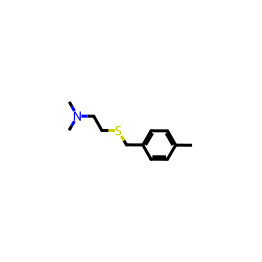 Cc1ccc(CSCCN(C)C)cc1